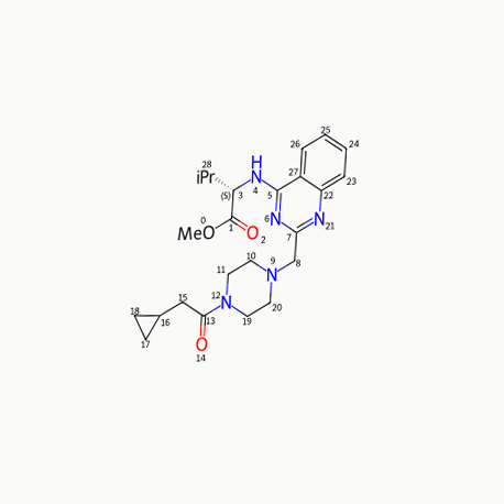 COC(=O)[C@@H](Nc1nc(CN2CCN(C(=O)CC3CC3)CC2)nc2ccccc12)C(C)C